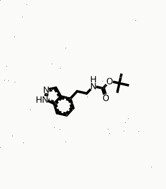 CC(C)(C)OC(=O)NCCc1cccc2[nH]ncc12